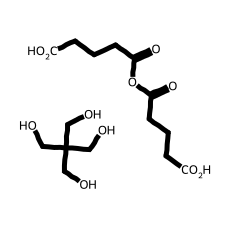 O=C(O)CCCC(=O)OC(=O)CCCC(=O)O.OCC(CO)(CO)CO